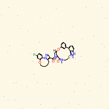 CN1CCCc2c3c(cccc3nn2C)-c2cccc(c2)O[C@H]2C[C@@H](C1=O)N(C(=O)c1cnn3c1CCCCCOc1cc(F)ccc1-3)C2